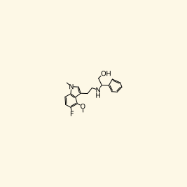 COc1c(F)ccc2c1c(CCNC(CO)c1ccccc1)cn2C